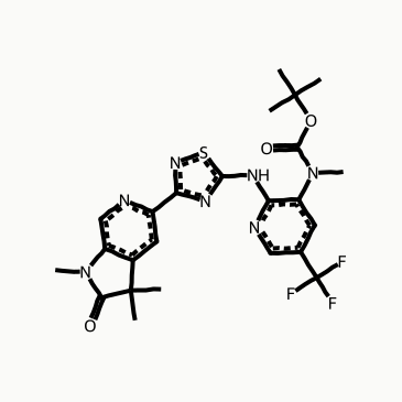 CN1C(=O)C(C)(C)c2cc(-c3nsc(Nc4ncc(C(F)(F)F)cc4N(C)C(=O)OC(C)(C)C)n3)ncc21